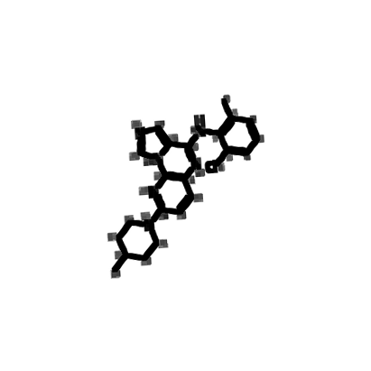 Cc1cccc(Cl)c1Nc1nc2ccc(N3CCC(C)CC3)nc2n2cncc12